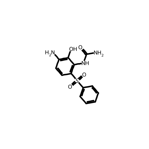 NC(=O)Nc1c(S(=O)(=O)c2ccccc2)ccc(N)c1O